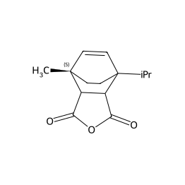 CC(C)C12C=C[C@](C)(CC1)C1C(=O)OC(=O)C12